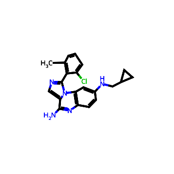 Cc1cccc(Cl)c1-c1ncc2c(N)nc3ccc(NCC4CC4)cc3n12